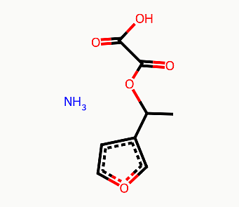 CC(OC(=O)C(=O)O)c1ccoc1.N